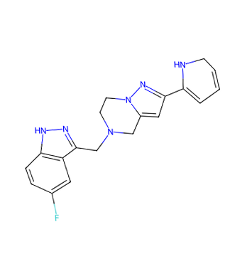 Fc1ccc2[nH]nc(CN3CCn4nc(C5=CC=CCN5)cc4C3)c2c1